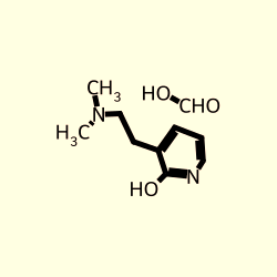 CN(C)CCc1cccnc1O.O=CO